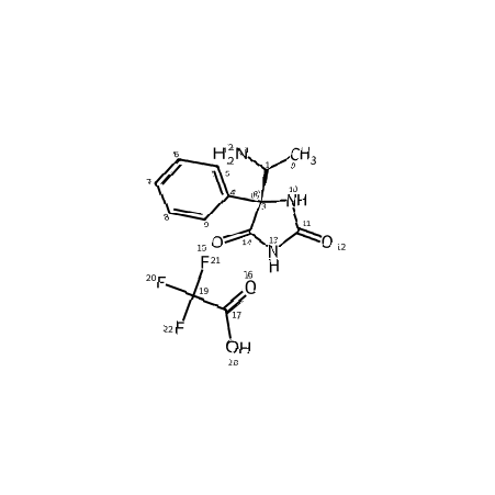 CC(N)[C@@]1(c2ccccc2)NC(=O)NC1=O.O=C(O)C(F)(F)F